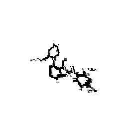 CCCC1CCCCN1c1cccc2nc(Nc3c(C)cc(Br)cc3OC)n(C)c12